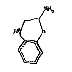 NC1CNc2ccccc2O1